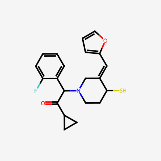 O=C(C1CC1)C(c1ccccc1F)N1CCC(S)C(=Cc2ccco2)C1